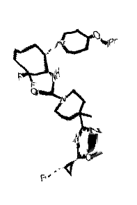 CC(C)OC1CCN([C@H]2CCCC(F)(F)[C@@H]2NC(=O)N2CCC(C)(c3noc([C@@H]4C[C@@H]4F)n3)CC2)CC1